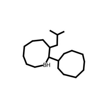 CC(C)CC1CCCCCCBC1C1CCCCCCCC1